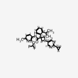 Cc1ccc(NC(=O)C2(c3ccccc3C(C)C)CN(c3cnc(C4CC4)nc3)C2)c(OC(F)F)n1